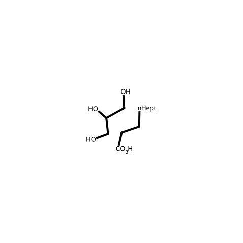 CCCCCCCCCC(=O)O.OCC(O)CO